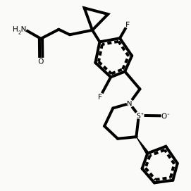 NC(=O)CCC1(c2cc(F)c(CN3CCC[C@H](c4ccccc4)[S+]3[O-])cc2F)CC1